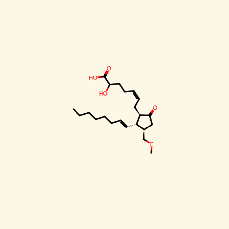 CCCCCC/C=C/[C@H]1[C@H](COC)CC(=O)[C@@H]1C/C=C\CCC(O)C(=O)O